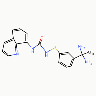 NC(N)(c1cccc(SNC(=O)Nc2cccc3cccnc23)c1)C(F)(F)F